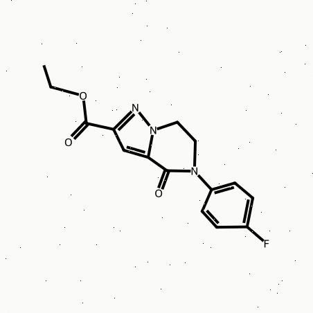 CCOC(=O)c1cc2n(n1)CCN(c1ccc(F)cc1)C2=O